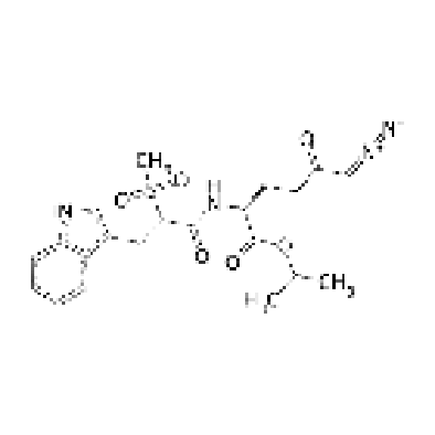 CC(C)OC(=O)[C@H](CCC(=O)C=[N+]=[N-])NC(=O)[C@H](Cc1c[nH]c2ccccc12)S(C)(=O)=O